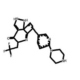 O=C1C2=CNNC23C=CC=C(c2ccc(N4CCNCC4)nc2)C3=NC1CC(F)(F)F